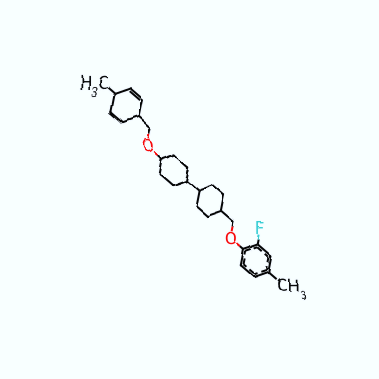 Cc1ccc(OCC2CCC(C3CCC(OCC4C=CC(C)CC4)CC3)CC2)c(F)c1